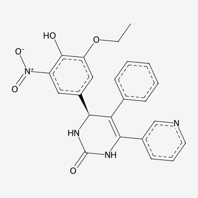 CCOc1cc([C@@H]2NC(=O)NC(c3cccnc3)=C2c2ccccc2)cc([N+](=O)[O-])c1O